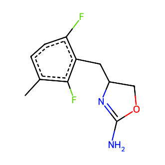 Cc1ccc(F)c(CC2COC(N)=N2)c1F